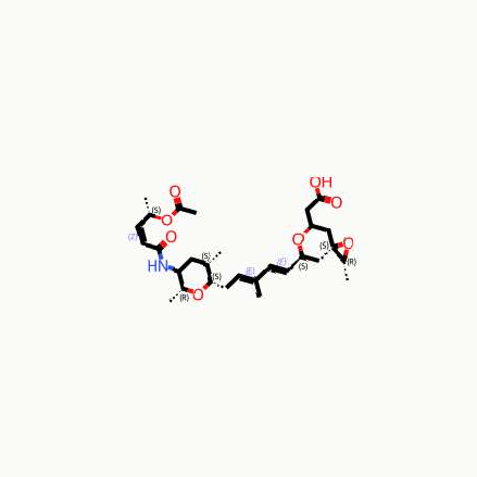 CC(=O)O[C@@H](C)/C=C\C(=O)NC1C[C@H](C)[C@H](C/C=C(C)/C=C/[C@@H]2C[C@]3(CC(CC(=O)O)O2)O[C@@H]3C)O[C@@H]1C